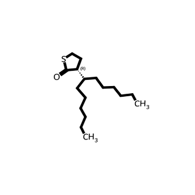 CCCCCCC(CCCCCC)[C@H]1CCSC1=O